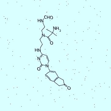 CC(C)(N)C(=O)N(CCNC=O)CCNc1ccn(-c2ccc3c(c2)CC(=O)C3)c(=O)n1